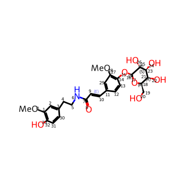 COc1cc(CCNC(=O)/C=C/c2ccc(O[C@@H]3O[C@H](CO)[C@H](O)[C@H](O)[C@H]3O)c(OC)c2)ccc1O